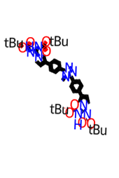 Cn1c(-c2ccc(C3=CCN(/C(=N/C(=O)OC(C)(C)C)NC(=O)OC(C)(C)C)C3)cc2)nnc1-c1ccc(C2=CCN(/C(=N/C(=O)OC(C)(C)C)NC(=O)OC(C)(C)C)C2)cc1